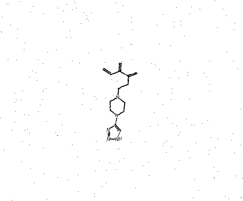 C=CC(=C)C(=C)CCN1CCN(c2c[nH]nn2)CC1